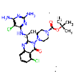 C[C@H](Nc1nc(N)nc(N)c1Cl)c1nc2cccc(Cl)c2c(=O)n1N1CCN(C(=O)OC(C)(C)C)CC1